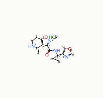 CC1NCCc2onc(C(=O)NC3(c4cocn4)CC3)c21.Cl